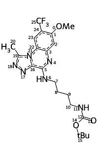 COc1cc2nc(NCCCCNC(=O)OC(C)(C)C)c3nnc(C)n3c2cc1C(F)(F)F